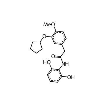 COc1ccc(CC(=O)Nc2c(O)cccc2O)cc1OC1CCCC1